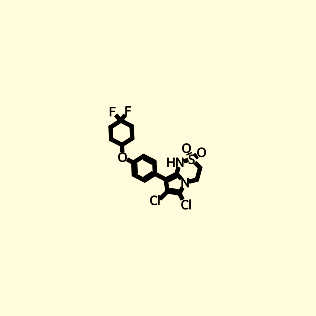 O=S1(=O)CCn2c(Cl)c(Cl)c(-c3ccc(OC4CCC(F)(F)CC4)cc3)c2N1